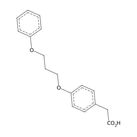 O=C(O)Cc1ccc(OCCCOc2ccccc2)cc1